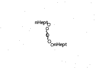 CCCCCCC[C@H]1CCC[C@H](C2CCC(/C=C/COC/C=C/C3CCC([C@H]4CCC[C@H](CCCCCCC)C4)CC3)CC2)C1